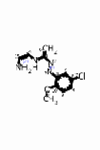 C=C(/N=N/c1cc(Cl)ccc1OC)N/C=C\N